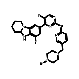 CCN1CCN(Cc2ccc(Nc3ncc(F)c(-c4cc(F)c5c(c4)N4CCCCC4N5)n3)nc2)CC1